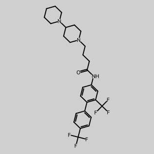 O=C(CCCN1CCC(N2CCCCC2)CC1)Nc1ccc(-c2ccc(C(F)(F)F)cc2)c(C(F)(F)F)c1